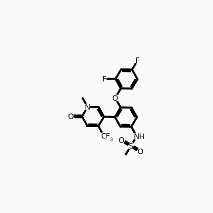 Cn1cc(-c2cc(NS(C)(=O)=O)ccc2Oc2ccc(F)cc2F)c(C(F)(F)F)cc1=O